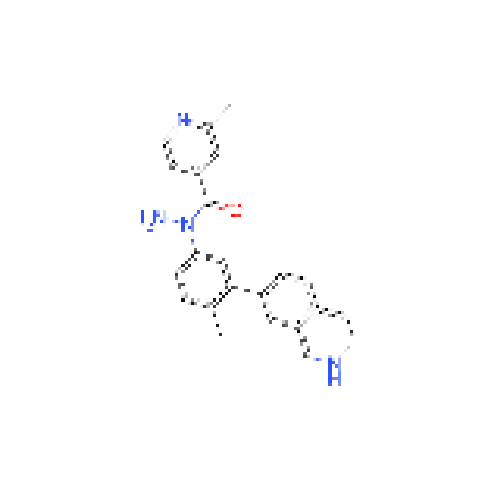 Cc1cc(C(=O)N(N)c2ccc(C)c(-c3ccc4c(c3)=CNCC=4)c2)ccn1